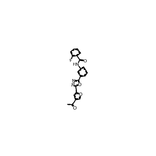 CC(=O)c1coc(-c2nnc(-c3cccc(NC(=O)c4ccccc4F)c3)o2)c1